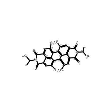 CCCCC(C)N1C(=O)c2cc(C(F)(F)F)c3c4c(C(F)(F)F)cc5c6c(cc(C(F)(F)F)c(c7c(C(F)(F)F)cc(c2c37)C1=O)c64)C(=O)N(C(C)CCCC)C5=O